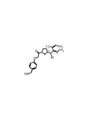 C/C=C(\C(=N/C)N(C(C)=O)[C@@H]1CCN(C(=O)COc2ccc(CO)cc2)C1)C(F)(F)F